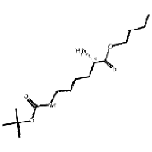 CCCCOC(=O)[C@@H](N)CCCCNC(=O)OC(C)(C)C